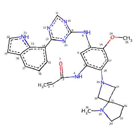 C=CC(=O)Nc1cc(Nc2ncnc(-c3cccc4cc[nH]c34)n2)c(OC)cc1N1CC2(CCCN2C)C1